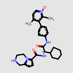 Cc1cc[n+]([O-])c(C)c1-c1ccc(NC(=O)[C@@H](NC(=O)c2ccc3n2CCNC3)C2CCCCC2)cc1